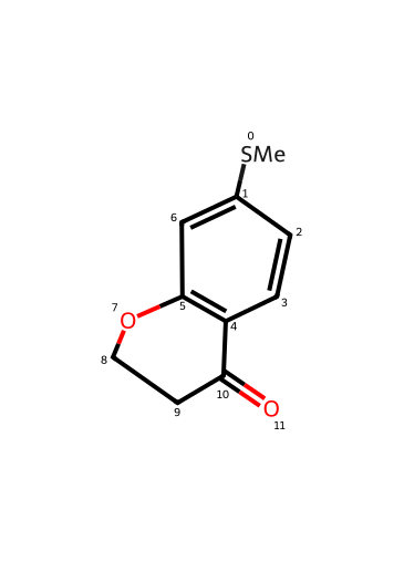 CSc1ccc2c(c1)OCCC2=O